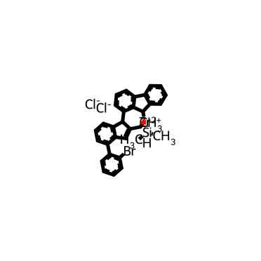 CCC1=Cc2c(-c3ccccc3Br)cccc2C1c1cccc2c1[CH]([Zr+2][SiH](C)C)c1ccccc1-2.[Cl-].[Cl-]